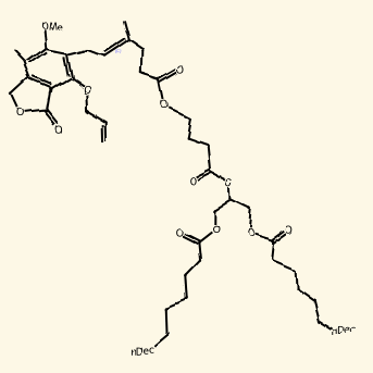 C=CCOc1c(C/C=C(\C)CCC(=O)OCCCC(=O)OC(COC(=O)CCCCCCCCCCCCCCC)COC(=O)CCCCCCCCCCCCCCC)c(OC)c(C)c2c1C(=O)OC2